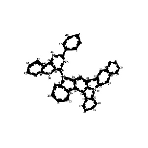 c1ccc(-c2nc(-n3c4ccccc4c4c5c6ccccc6n6c7cc8ccccc8cc7c(cc43)c56)c3sc4ccccc4c3n2)cc1